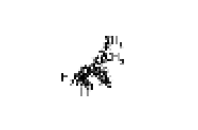 CCCC/C=C(\C)c1ccc(Cc2nc(-c3ccc(Cl)cc3Cl)cn2-c2cccc(N(C)S(=O)(=O)NC=O)c2)cc1